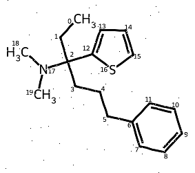 CCC(CCCc1ccccc1)(c1cccs1)N(C)C